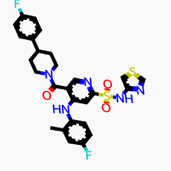 Cc1cc(F)ccc1Nc1cc(S(=O)(=O)Nc2cscn2)ncc1C(=O)N1CCC(c2ccc(F)cc2)CC1